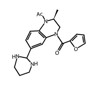 CC(=O)N1c2ccc(C3NCCCN3)cc2N(C(=O)c2ccco2)C[C@@H]1C